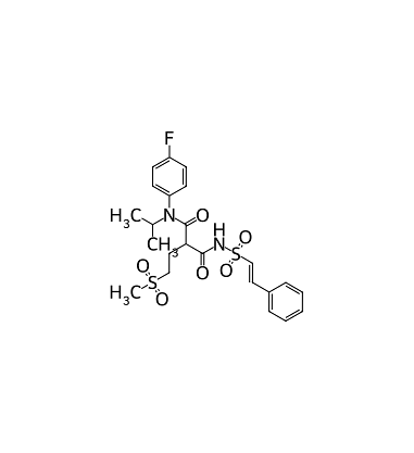 CC(C)N(C(=O)C(CCS(C)(=O)=O)C(=O)NS(=O)(=O)/C=C/c1ccccc1)c1ccc(F)cc1